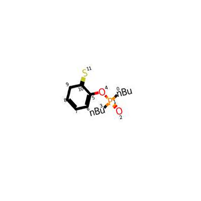 CCCCP(=O)(CCCC)OC1=CC=CCC1=S